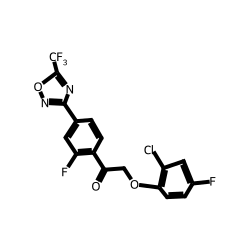 O=C(COc1ccc(F)cc1Cl)c1ccc(-c2noc(C(F)(F)F)n2)cc1F